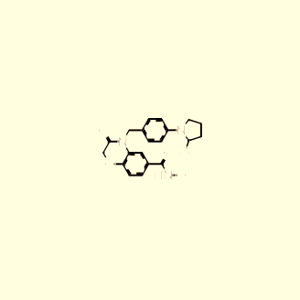 O=C(NO)c1ccc2c(c1)N(Cc1ccc(N3CCCC3O)cc1)C(=O)CO2